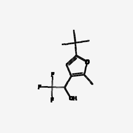 Cc1oc(C(C)(C)C)cc1C(O)C(F)(F)F